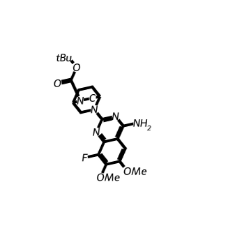 COc1cc2c(N)nc(N3CC4CCC3CN4C(=O)OC(C)(C)C)nc2c(F)c1OC